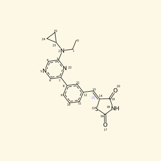 CCN(c1cncc(-c2cccc(/C=C3\SC(=O)NC3=O)c2)n1)C1CC1